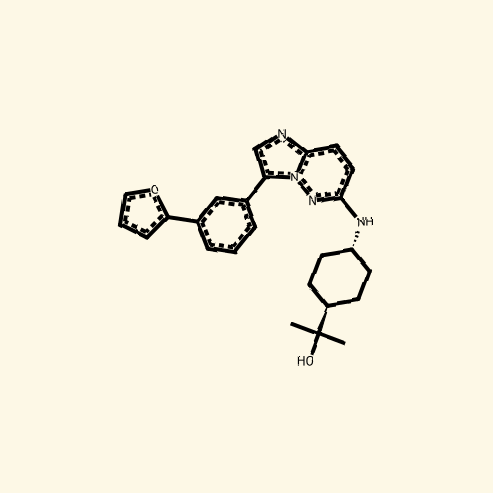 CC(C)(O)[C@H]1CC[C@H](Nc2ccc3ncc(-c4cccc(-c5ccco5)c4)n3n2)CC1